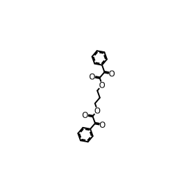 O=C(OCCCOC(=O)C(=O)c1ccccc1)C(=O)c1ccccc1